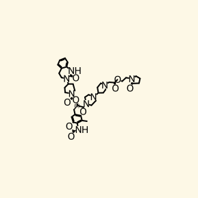 Cc1cc(C[C@@H](OC(=O)N2CCC(N3CCc4ccccc4NC3=O)CC2)C(=O)N2CCN(C3CCN(CC(=O)OCCN4CCCC4=O)CC3)CC2)cc2oc(=O)[nH]c12